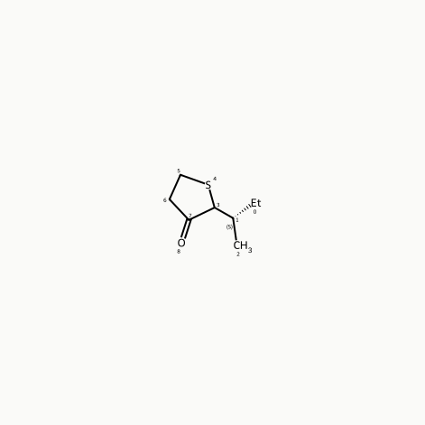 CC[C@H](C)C1SCCC1=O